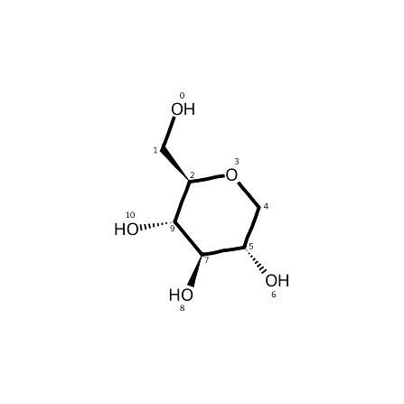 O[CH][C@H]1OC[C@H](O)[C@@H](O)[C@@H]1O